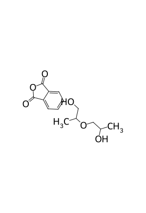 CC(O)COC(C)CO.O=C1OC(=O)c2ccccc21